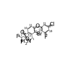 NCc1c(S(=O)(=O)C(F)F)ccc(Oc2cc(F)cc(Cl)c2)c1Br